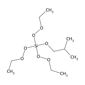 CCOO[Si](OCC(C)C)(OOCC)OOCC